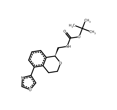 CC(C)(C)OC(=O)NC[C@H]1OCCc2c(-c3cocn3)cccc21